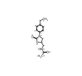 CCc1ccc(N2CC(CNC(C)=O)OC2=O)cc1